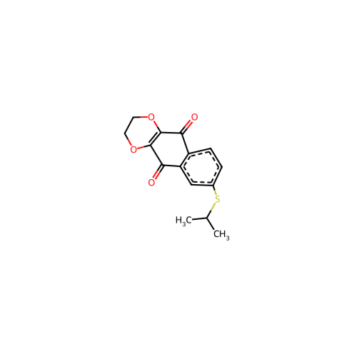 CC(C)Sc1ccc2c(c1)C(=O)C1=C(OCCO1)C2=O